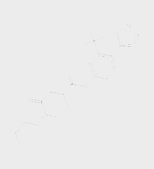 C=C1CC(C(=O)Nc2ccc(-c3cnco3)c(C(C)(F)F)c2)CO/C1=C/C=C\C